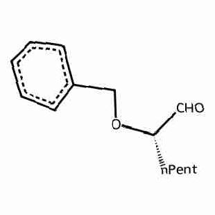 CCCCC[C@@H](C=O)OCc1ccccc1